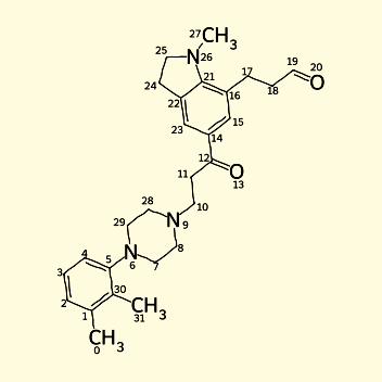 Cc1cccc(N2CCN(CCC(=O)c3cc(CCC=O)c4c(c3)CCN4C)CC2)c1C